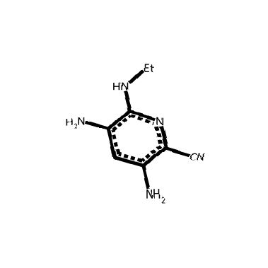 CCNc1nc(C#N)c(N)cc1N